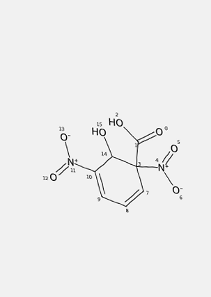 O=C(O)C1([N+](=O)[O-])C=CC=C([N+](=O)[O-])C1O